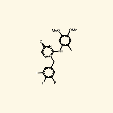 COc1cc(C)c(Nc2nc(=O)cnn2Cc2cc(F)c(F)c(F)c2)cc1OC